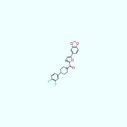 O=C(c1ncc(-c2ccc3c(c2)OCO3)o1)N1CCC(c2ccc(F)c(F)c2)CC1